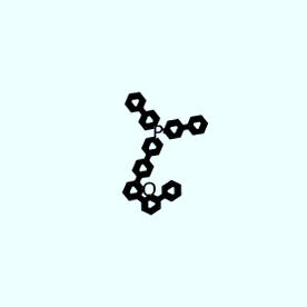 c1ccc(-c2ccc(P(c3ccc(-c4ccccc4)cc3)c3ccc(-c4ccc(-c5cccc6c5oc5c(-c7ccccc7)cccc56)cc4)cc3)cc2)cc1